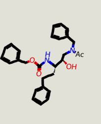 CC(=O)N(Cc1ccccc1)C[C@@H](O)[C@H](CCc1ccccc1)NC(=O)OCc1ccccc1